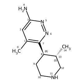 Cc1cc(N)nnc1[C@@H]1CCNC[C@H]1C